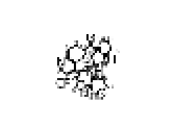 O=C(N1CCc2ncc(C(F)(F)F)cc2C1)[C@@]12CCC[C@@H]1C[C@H](N1CCO[C@@H]3COCC[C@@H]31)C2